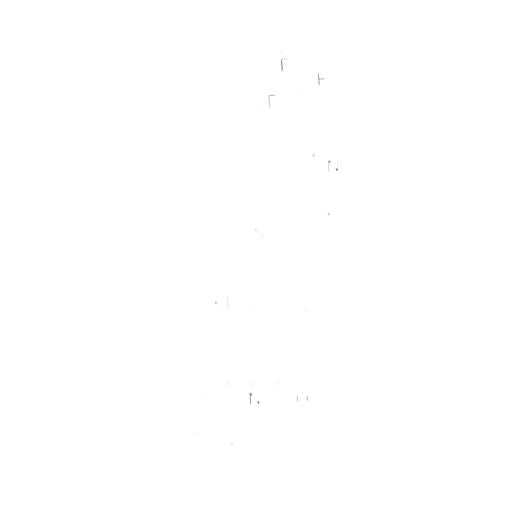 O=C(c1ccc(-c2csc(-c3ccnc(CCC(F)(F)F)c3)c2)c(Cl)c1)N1CCCCC1